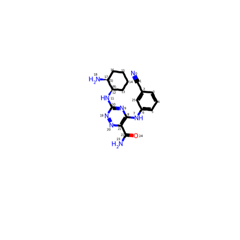 N#Cc1cccc(Nc2nc(N[C@@H]3CCCC[C@@H]3N)nnc2C(N)=O)c1